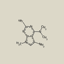 CCCc1nc(N(C)C)c2c(N)cn(C)c2n1